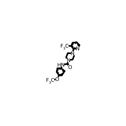 O=C(Nc1ccc(OC(F)(F)F)cc1)N1CCN(c2ncccc2C(F)(F)F)CC1